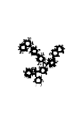 c1ccc(-c2c(-c3cccc(N(c4ccc(-c5ccc(-c6cccc7ccccc67)cc5)cc4)c4cccc(-c5ccc6ccccc6c5)c4)c3)oc3ccccc23)cc1